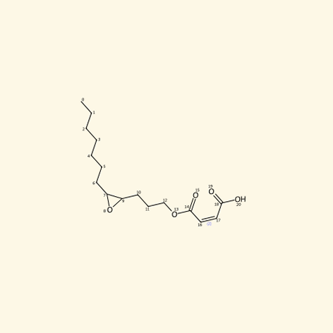 CCCCCCCC1OC1CCCOC(=O)/C=C\C(=O)O